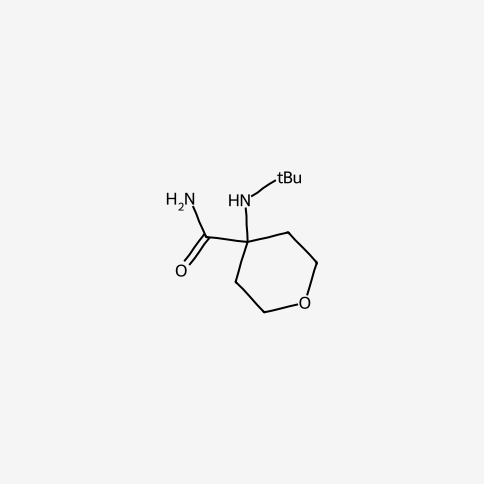 CC(C)(C)NC1(C(N)=O)CCOCC1